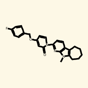 Cn1c2c(c3ccc(-n4ccc(OCc5ccc(F)cc5)cc4=O)nc31)CCCCC2